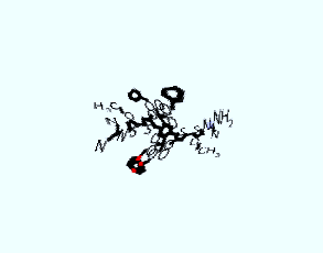 CCCOc1cc(N=C(C#N)C#N)sc1-c1cc2c(s1)-c1cc3c(cc1C(C(=O)OCc1ccccc1)(C(=O)OCc1ccccc1)O2)-c1sc(-c2sc(/N=C(/N)C#N)cc2OCCC)cc1OC3(C(=O)OCc1ccccc1)C(=O)OCc1ccccc1